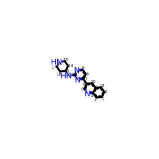 c1ccc2ncc(-c3ccnc(NC4CCNCC4)n3)cc2c1